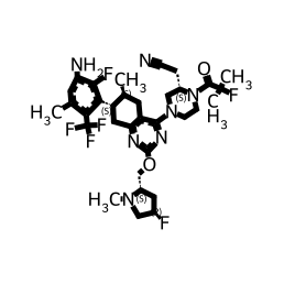 Cc1cc(N)c(F)c([C@H]2Cc3nc(OC[C@@H]4C[C@@H](F)CN4C)nc(N4CCN(C(=O)C(C)(C)F)[C@@H](CC#N)C4)c3C[C@@H]2C)c1C(F)(F)F